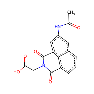 CC(=O)Nc1cc2c3c(cccc3c1)C(=O)N(CC(=O)O)C2=O